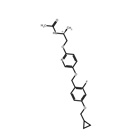 CC(=O)N[C@@H](C)COc1ccc(OCc2ccc(OCC3CC3)cc2F)cn1